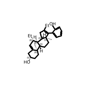 CCC1=C(c2ccccc2O)[C@@]2(C)CC[C@H]3[C@@H]([C@@H](CC)C=C4C[C@@H](O)CC[C@@]43C)[C@@H]2C1